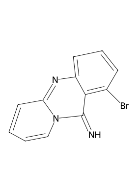 N=c1c2c(Br)cccc2nc2ccccn12